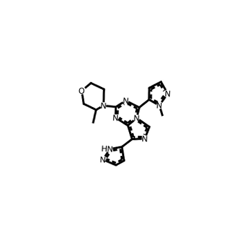 CC1COCCN1c1nc(-c2ccnn2C)n2cnc(-c3ccn[nH]3)c2n1